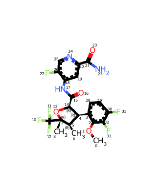 COc1c([C@H]2[C@@H](C)[C@](C)(C(F)(F)F)O[C@H]2C(=O)Nc2cc(C(N)=O)ncc2F)ccc(F)c1F